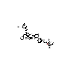 Cc1c(COc2cc(OCc3cncc(C#N)c3)c(CN3CCCC[C@H]3C(=O)O)cc2Cl)cccc1-c1cccc(OCCCN2[C@H]3COC[C@H]2COC3)c1C